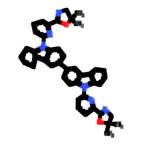 CC1(C)CN=C(c2cccc(-n3c4ccccc4c4cc(-c5ccc6c(c5)c5ccccc5n6-c5cccc(C6=NCC(C)(C)O6)n5)ccc43)n2)O1